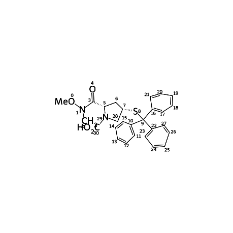 CON(C)C(=O)[C@@H]1C[C@H](SC(c2ccccc2)(c2ccccc2)c2ccccc2)CN1C(=O)O